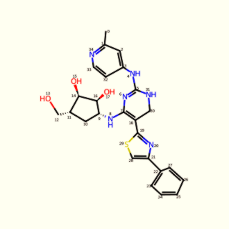 Cc1cc(NC2=NC(N[C@@H]3C[C@H](CO)[C@@H](O)[C@H]3O)=C(c3nc(-c4ccccc4)cs3)CN2)ccn1